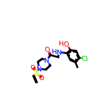 C=CS(=O)(=O)N1CCN(C(=O)CNc2cc(C)c(Cl)cc2O)CC1